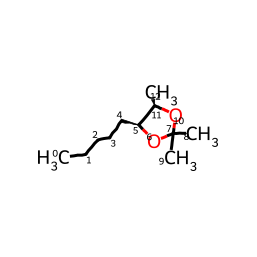 CCCCC[C@@H]1OC(C)(C)O[C@@H]1C